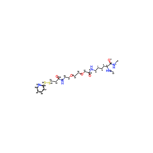 CNC(=O)C(CCCCNC(=O)COCCOCCNC(=O)CCSSc1ccccn1)NC